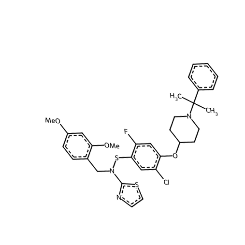 COc1ccc(CN(Sc2cc(Cl)c(OC3CCN(C(C)(C)c4ccccc4)CC3)cc2F)c2nccs2)c(OC)c1